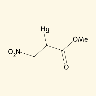 COC(=O)[CH]([Hg])C[N+](=O)[O-]